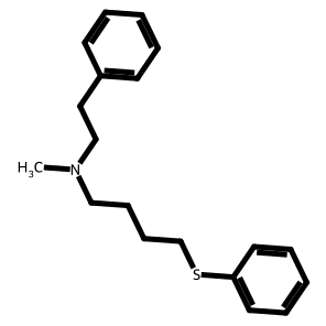 CN(CCCCSc1ccccc1)CCc1ccccc1